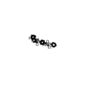 CCC(NC(=O)c1ccc(-n2nc3c4cccc(F)c4scc-3c2=O)cc1)NC1CCCCC1